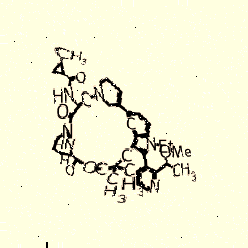 CCn1c(-c2cccnc2[C@H](C)OC)c2c3cc(ccc31)C1=CCCN(C1)C[C@H](NC(=O)[C@H]1C[C@@H]1C)C(=O)N1CCC[C@H](N1)C(=O)OCC(C)(C)C2